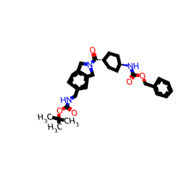 CC(C)(C)OC(=O)NCc1ccc2c(c1)CN(C(=O)[C@H]1CC[C@H](NC(=O)OCc3ccccc3)CC1)C2